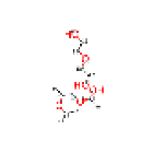 CC(=O)O.CC(C)OC(C)C.OCCOCCO